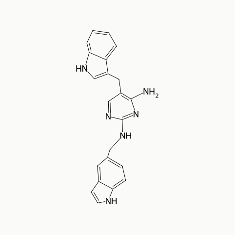 Nc1nc(NCc2ccc3[nH]ccc3c2)ncc1Cc1c[nH]c2ccccc12